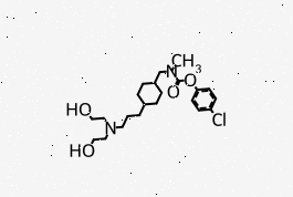 CN(CC1CCC(CCCN(CCO)CCO)CC1)C(=O)Oc1ccc(Cl)cc1